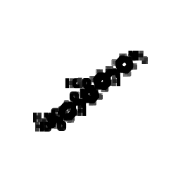 CC(N)(CO)C(=O)N1CCN(C(=O)Nc2ccn(-c3ccc(CN[C@H]4CC[C@H](N)CC4)cc3)c(=O)n2)CC1.Cl